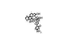 C/C=N\c1c(C[C@H](C)[C@H]2CC(O)[C@@H](COP(=O)(O)OC3C[C@H](n4cnc(N)nc4=O)O[C@@H]3CO)O2)nc(N)[nH]c1=O